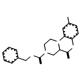 Cc1ccc2c(c1)N1CCN(C(=O)OCc3ccccc3)CC1C(=O)N2